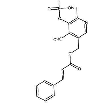 Cc1ncc(COC(=O)C=Cc2ccccc2)c(C=O)c1OP(=O)(O)O